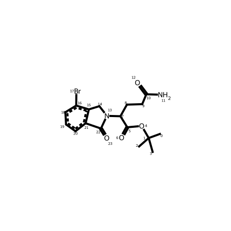 CC(C)(C)OC(=O)C(CCC(N)=O)N1Cc2c(Br)cccc2C1=O